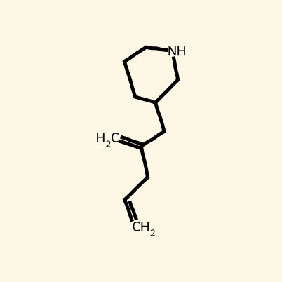 C=CCC(=C)CC1CCCNC1